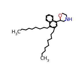 CCCCCCCCCc1cc(C2CNCCO2)c2ccccc2c1CCCCCCCCC